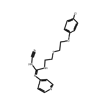 N#CN/C(=N/c1ccncc1)NCCSCCOc1ccc(Cl)cc1